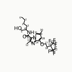 CCCCC(CO)NC(=O)c1c(C)nc2c(OCCC(C(F)(F)F)C(F)(F)F)cc(C)cn12